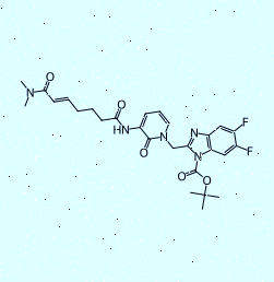 CN(C)C(=O)/C=C/CCCC(=O)Nc1cccn(Cc2nc3cc(F)c(F)cc3n2C(=O)OC(C)(C)C)c1=O